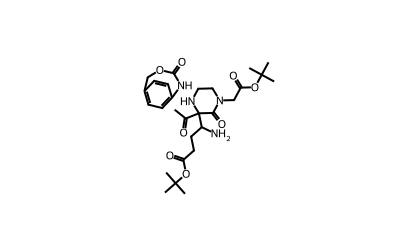 CC(=O)C1(C(N)CCC(=O)OC(C)(C)C)NCCN(CC(=O)OC(C)(C)C)C1=O.O=C1Nc2ccc(cc2)CO1